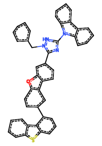 c1ccc(C[n+]2[nH]c(-n3c4ccccc4c4ccccc43)nc2-c2ccc3c(c2)oc2ccc(-c4cccc5sc6ccccc6c45)cc23)cc1